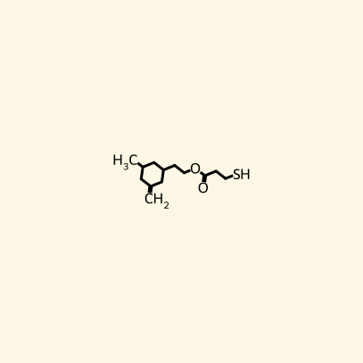 C=C1CC(C)CC(CCOC(=O)CCS)C1